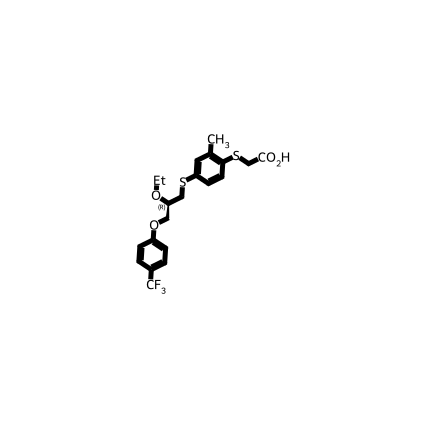 CCO[C@H](COc1ccc(C(F)(F)F)cc1)CSc1ccc(SCC(=O)O)c(C)c1